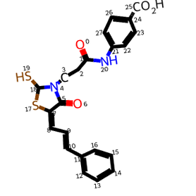 O=C(CCN1C(=O)/C(=C\C=C\c2ccccc2)SC1S)Nc1ccc(C(=O)O)cc1